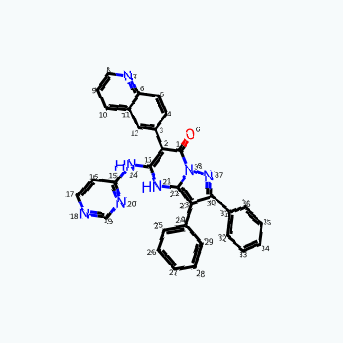 O=c1c(-c2ccc3ncccc3c2)c(Nc2ccncn2)[nH]c2c(-c3ccccc3)c(-c3ccccc3)nn12